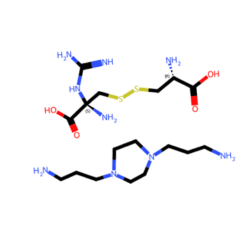 N=C(N)N[C@](N)(CSSC[C@H](N)C(=O)O)C(=O)O.NCCCN1CCN(CCCN)CC1